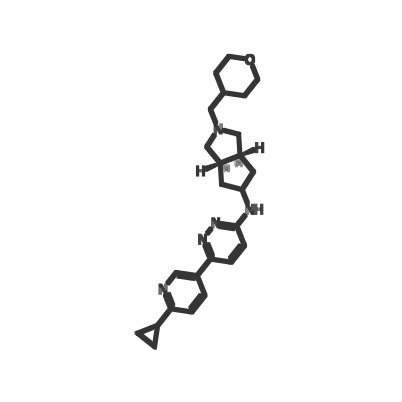 c1cc(C2CC2)ncc1-c1ccc(NC2C[C@@H]3CN(CC4CCOCC4)C[C@@H]3C2)nn1